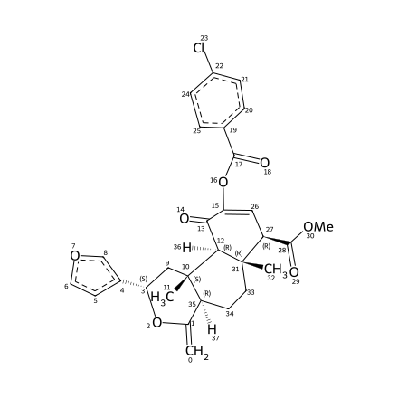 C=C1O[C@H](c2ccoc2)C[C@]2(C)[C@H]3C(=O)C(OC(=O)c4ccc(Cl)cc4)=C[C@@H](C(=O)OC)[C@]3(C)CC[C@@H]12